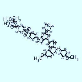 COc1ccc(CN(Cc2ccc(OC)cc2)c2ncc(-c3nc(N4CCOCC4)nc4c3CCN4c3ccc(S(=O)(=O)N4CCN(C(=O)OC(C)(C)C)CC4)cc3)cn2)cc1